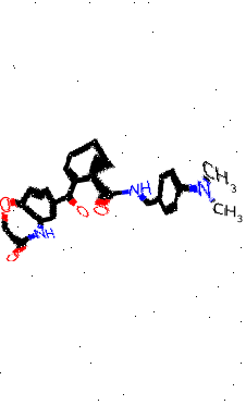 CN(C)c1ccc(CNC(=O)c2ccccc2C(=O)c2ccc3c(c2)NC(=O)CO3)cc1